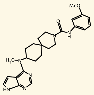 COc1cccc(NC(=O)N2CCC3(CCC(N(C)c4ncnc5[nH]ccc45)CC3)CC2)c1